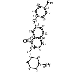 CC(C)N1CCC[C@H](Cn2cnc3ccc(Sc4ccc(F)cc4)cc3c2=O)C1